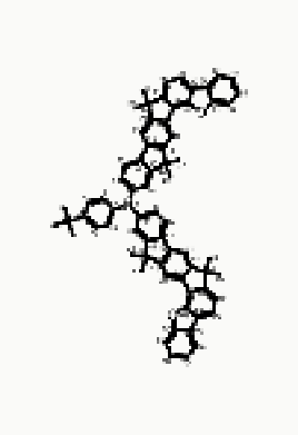 CC(C)(C)c1ccc(N(c2ccc3c(c2)C(C)(C)c2cc4c(cc2-3)C(C)(C)c2ccc3c(oc5ccccc53)c2-4)c2ccc3c(c2)C(C)(C)c2cc4c(cc2-3)C(C)(C)c2ccc3c(oc5ccccc53)c2-4)cc1